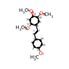 COc1ccc(/C=C/c2cc(OC)c(OC)cc2OC)cc1